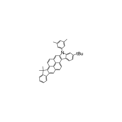 Cc1cc(C)cc(-n2c3cc(C(C)(C)C)ccc3c3c4ccc5cc6c(c7ccc(cc32)c4c57)C(C)(C)c2ccccc2-6)c1